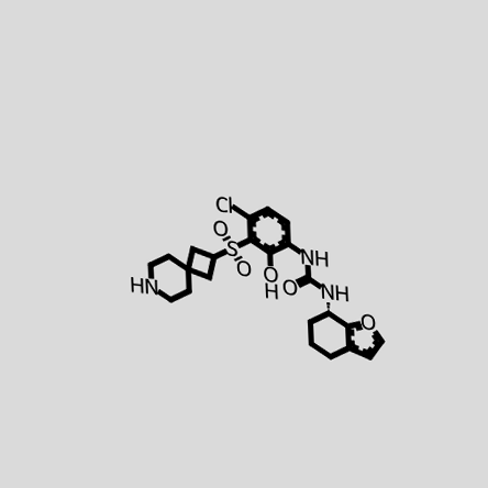 O=C(Nc1ccc(Cl)c(S(=O)(=O)C2CC3(CCNCC3)C2)c1O)N[C@H]1CCCc2ccoc21